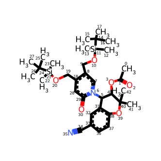 CC(=O)OC1C(n2cc(CO[Si](C)(C)C(C)(C)C)c(CO[Si](C)(C)C(C)(C)C)cc2=O)c2cc(C#N)ccc2OC1(C)C